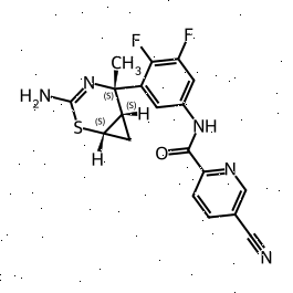 C[C@]1(c2cc(NC(=O)c3ccc(C#N)cn3)cc(F)c2F)N=C(N)S[C@H]2C[C@H]21